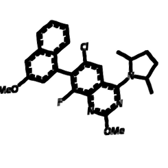 COc1cc(-c2c(Cl)cc3c(N4C(C)CCC4C)nc(OC)nc3c2F)c2ccccc2c1